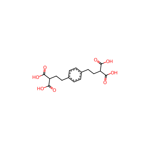 O=C(O)C(CCc1ccc(CCC(C(=O)O)C(=O)O)cc1)C(=O)O